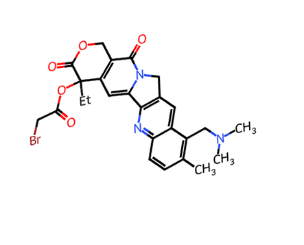 CCC1(OC(=O)CBr)C(=O)OCc2c1cc1n(c2=O)Cc2cc3c(CN(C)C)c(C)ccc3nc2-1